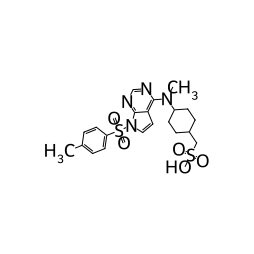 Cc1ccc(S(=O)(=O)n2ccc3c(N(C)C4CCC(CS(=O)(=O)O)CC4)ncnc32)cc1